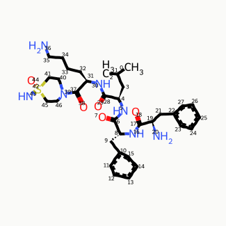 CC(C)C[C@@H](NC(=O)[C@@H](Cc1ccccc1)NC(=O)[C@H](N)Cc1ccccc1)C(=O)N[C@H](CCCCN)C(=O)N1CCS(=N)(=O)CC1